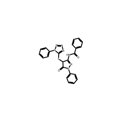 O=C(NC1=NN(c2ccccc2)C(=O)C1Sc1nnnn1-c1ccccc1)c1ccccc1